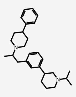 CC(C)N1CCCC(c2cccc(CC(C)N3CCC(c4ccccc4)CC3)c2)C1